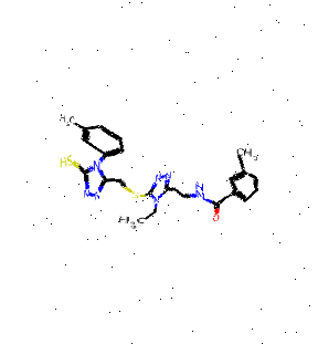 CCn1c(CNC(=O)c2cccc(C)c2)nnc1SCc1nnc(S)n1-c1cccc(C)c1